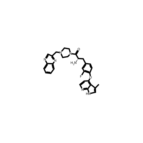 Cc1c[nH]c2nccc(Oc3ccc(C[C@H](N)C(=O)N4CCN(Cc5cnc6ccccc6n5)CC4)cc3F)c12